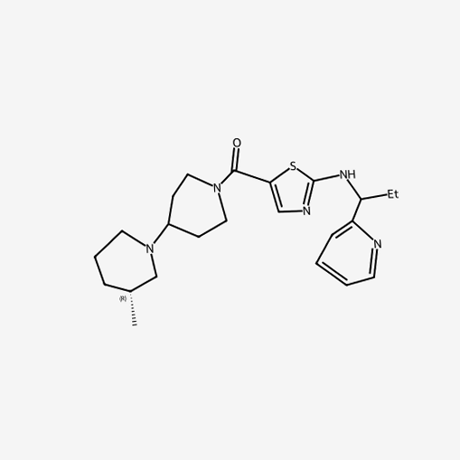 CCC(Nc1ncc(C(=O)N2CCC(N3CCC[C@@H](C)C3)CC2)s1)c1ccccn1